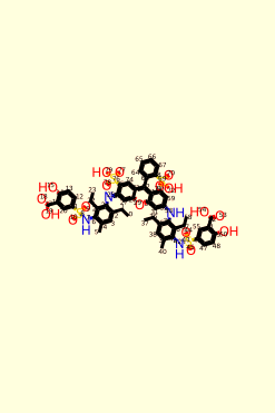 CCc1cc(C)c(NS(=O)(=O)c2ccc(O)c(C(=O)O)c2)c(CC)c1/N=c1\cc2oc3cc(Nc4c(CC)cc(C)c(NS(=O)(=O)c5ccc(O)c(C(=O)O)c5)c4CC)ccc3c(-c3ccccc3S(=O)(=O)O)c-2cc1S(=O)(=O)O